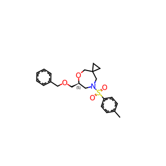 Cc1ccc(S(=O)(=O)N2C[C@@H](COCc3ccccc3)OCC3(CC3)C2)cc1